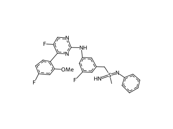 COc1cc(F)ccc1-c1nc(Nc2cc(F)cc(CS(C)(=N)=Nc3ccccc3)c2)ncc1F